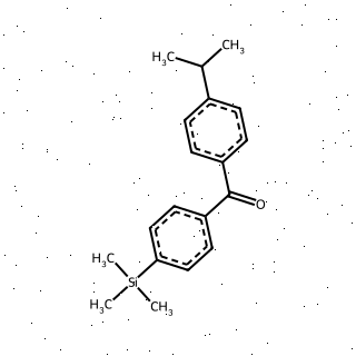 CC(C)c1ccc(C(=O)c2ccc([Si](C)(C)C)cc2)cc1